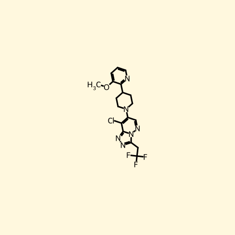 COc1cccnc1C1CCN(c2cnn3c(CC(F)(F)F)nnc3c2Cl)CC1